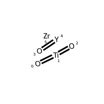 [O]=[Ti]=[O].[O]=[Y].[Zr]